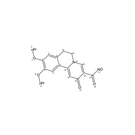 CCCOc1cc2c(cc1OCCC)-c1cc(=O)c(C(=O)N=O)cn1CC2